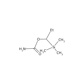 CCC(OC(N)=O)[Si](C)(C)C